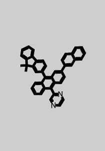 CC1(C)c2ccccc2-c2ccc(-c3c4ccccc4c(-c4cnccn4)c4ccc(-c5ccc6ccccc6c5)cc34)cc21